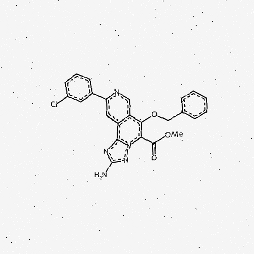 COC(=O)c1c(OCc2ccccc2)c2cnc(-c3cccc(Cl)c3)cc2c2nc(N)nn12